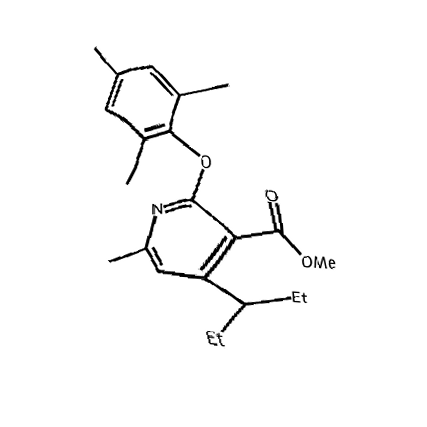 CCC(CC)c1cc(C)nc(Oc2c(C)cc(C)cc2C)c1C(=O)OC